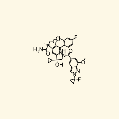 COc1cc(C(=O)NCC(O)(c2cc3c(c(-c4ccc(F)cc4Cl)n2)OC[C@]3(C)C(N)=O)C2CC2)cc2cn(C3(F)CC3)nc12